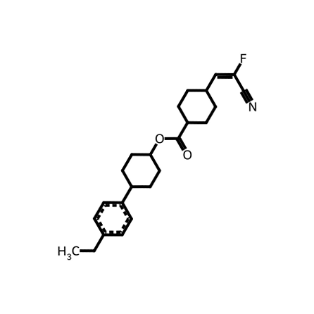 CCc1ccc(C2CCC(OC(=O)C3CCC(/C=C(/F)C#N)CC3)CC2)cc1